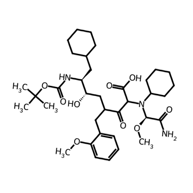 COc1ccccc1CC(C[C@H](O)[C@H](CC1CCCCC1)NC(=O)OC(C)(C)C)C(=O)C(C(=O)O)N(C1CCCCC1)[C@H](OC)C(N)=O